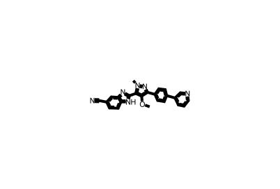 COc1c(-c2ccc(-c3cccnc3)cc2)nn(C)c1-c1nc2cc(C#N)ccc2[nH]1